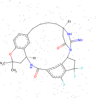 CC[C@]12CCCCc3ccc4c(c3)[C@H](CC(C)(C)O4)NC(=O)c3cc(F)c4c(c3)C(CC4(F)F)N(C(=N)N1)C(=O)C2